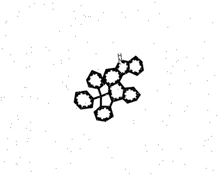 c1ccc(C2(c3ccccc3)c3ccccc3-c3c2c2ccc4[nH]c5ccccc5c4c2c2ccccc32)cc1